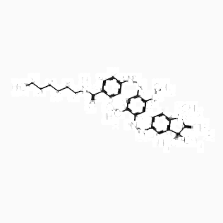 C=C1N(C)c2ccc(/N=N\c3cc(OC)c(/N=N\c4ccc(C(=O)NCCCCCCO)cc4)cc3OC)cc2C1(C)C